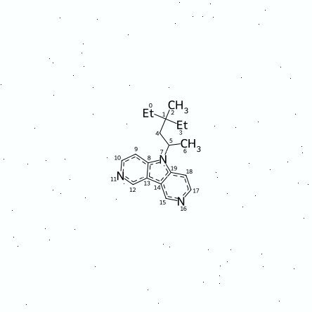 CCC(C)(CC)CC(C)n1c2ccncc2c2cnccc21